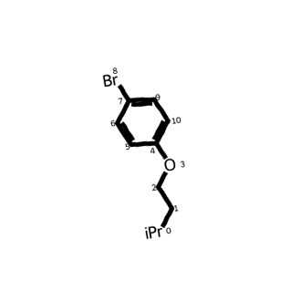 CC(C)CCOc1ccc(Br)cc1